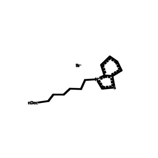 CCCCCCCCCCCCCCCC[n+]1csc2ccccc21.[Br-]